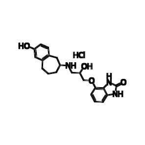 Cl.O=c1[nH]c2cccc(OCC(O)CNC3CCCc4cc(O)ccc4C3)c2[nH]1